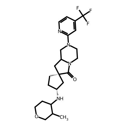 CC1COCCC1N[C@@H]1CC[C@@]2(CC3CN(c4cc(C(F)(F)F)ccn4)CCN3C2=O)C1